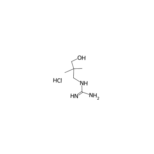 CC(C)(CO)CNC(=N)N.Cl